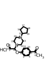 CC(=O)c1ccc(OC(C=O)N2CCN(C3CCCC3)CC2)cc1.Cl